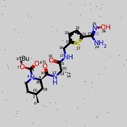 C[C@H]1CCN(C(=O)OC(C)(C)C)[C@@H](C(=O)N[C@@H](C)C(=O)NCc2ccc(/C(N)=N/O)s2)C1